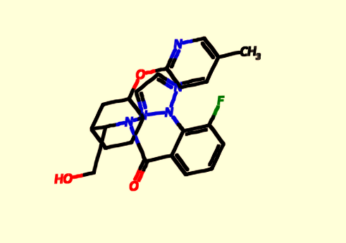 Cc1ccc(OC2CC3CCC2N(C(=O)c2cccc(F)c2-n2nccn2)C3CO)nc1